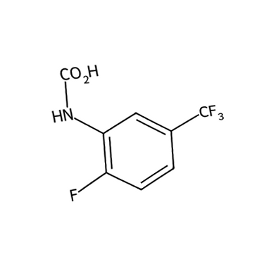 O=C(O)Nc1cc(C(F)(F)F)ccc1F